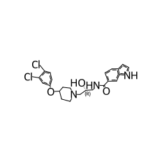 O=C(NC[C@@H](O)CN1CCC(Oc2ccc(Cl)c(Cl)c2)CC1)c1ccc2cc[nH]c2c1